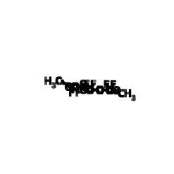 CCCCOc1ccc(C(=O)Oc2ccc(C3=CCC(c4ccc(OCC)c(F)c4F)CC3)c(F)c2F)c(F)c1F